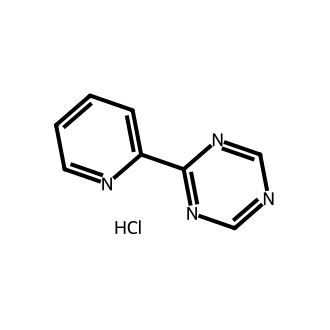 Cl.c1ccc(-c2ncncn2)nc1